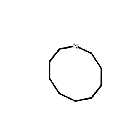 C1CCCC[N]CCCC1